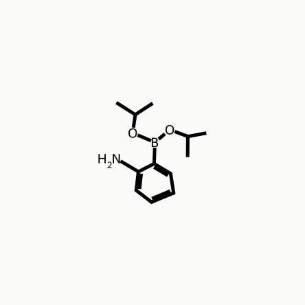 CC(C)OB(OC(C)C)c1ccccc1N